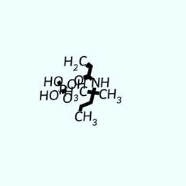 C=CC(=O)NC(C)(C)CCC.O=P(O)(O)O